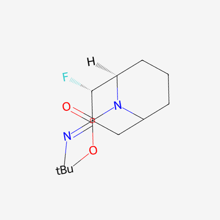 C/N=C1\CC2CCC[C@H]([C@H]1F)N2C(=O)OC(C)(C)C